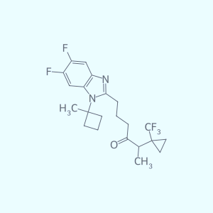 CC(C(=O)CCCc1nc2cc(F)c(F)cc2n1C1(C)CCC1)C1(C(F)(F)F)CC1